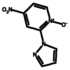 O=[N+]([O-])c1cc[n+]([O-])c(-n2cccn2)c1